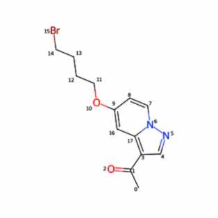 CC(=O)c1cnn2ccc(OCCCCBr)cc12